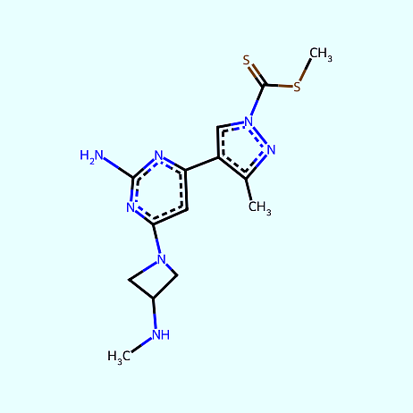 CNC1CN(c2cc(-c3cn(C(=S)SC)nc3C)nc(N)n2)C1